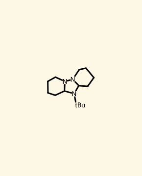 CC(C)(C)N1C2CCCCN2N2CCCCC21